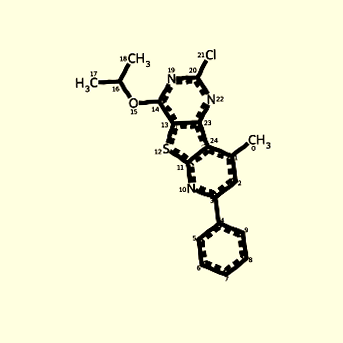 Cc1cc(-c2ccccc2)nc2sc3c(OC(C)C)nc(Cl)nc3c12